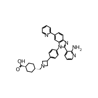 Nc1ncccc1-c1nc2ccc(-c3ccccn3)cc2n1-c1ccc(C2CN(C[C@H]3CC[C@H](C(=O)O)CC3)C2)cc1